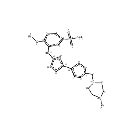 CC(C)Oc1ccc(S(N)(=O)=O)cc1Nc1nc(-c2ccc(CN3CCN(C(C)C)CC3)cc2)cs1